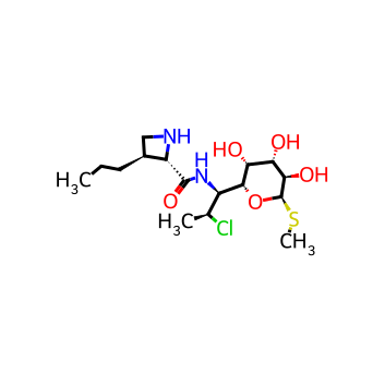 CCC[C@H]1CN[C@@H]1C(=O)N[C@@H]([C@H]1O[C@H](SC)[C@H](O)[C@@H](O)[C@H]1O)[C@H](C)Cl